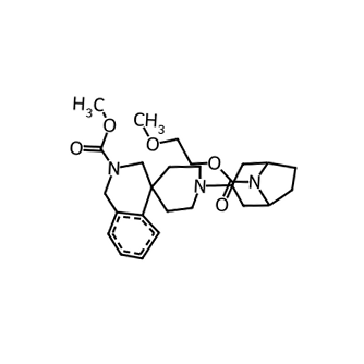 COCCOC(=O)N1C2CCC1CC(N1CCC3(CC1)CN(C(=O)OC)Cc1ccccc13)C2